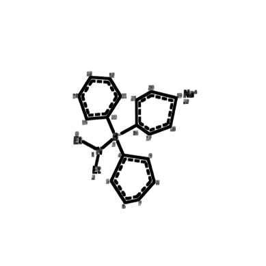 CCN(CC)[B-](c1ccccc1)(c1ccccc1)c1ccccc1.[Na+]